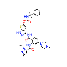 CCn1nc(C)cc1C(=O)Nc1cc(N2CCN(C)CC2)ccc1C(=O)Nc1n[nH]c2sc(OC(=O)NC(C)(C)c3ccccc3)cc12